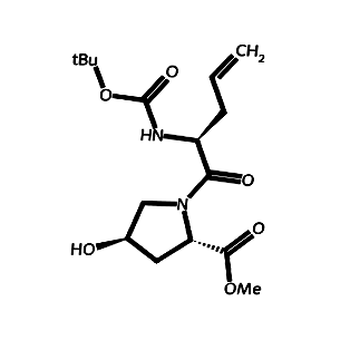 C=CC[C@H](NC(=O)OC(C)(C)C)C(=O)N1C[C@H](O)C[C@H]1C(=O)OC